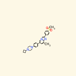 Cc1cc(-c2ccc(N3CCN(C4CCC4)CC3)cc2)cn2cc(-c3ccc(S(C)(=O)=O)cc3)nc12